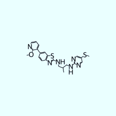 COc1ncccc1-c1ccc2nc(NCC(C)CNc3ncc(SC)cn3)sc2c1